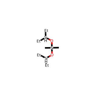 CC[SiH](CC)O[Si](C)(C)O[SiH](CC)CC